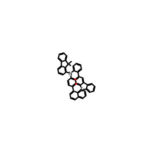 CC1(C)c2ccccc2-c2cccc(N(c3ccc(-c4cccc5ccccc45)cc3)c3ccccc3-c3ccc4sc5ccccc5c4c3)c21